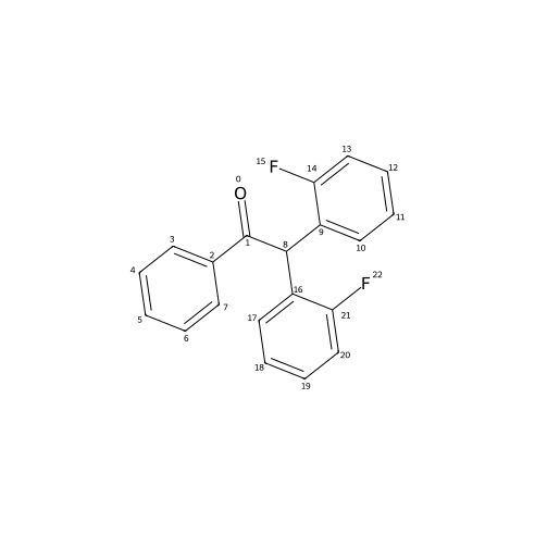 O=C(c1ccccc1)C(c1ccccc1F)c1ccccc1F